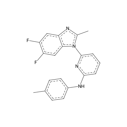 Cc1ccc(Nc2cccc(-n3c(C)nc4cc(F)c(F)cc43)n2)cc1